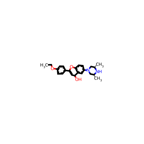 CCOc1ccc(C2=CC(O)c3cc(N4C[C@@H](C)N[C@@H](C)C4)ccc3O2)cc1